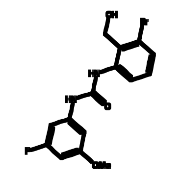 COc1cc(F)cc(NC(=O)Nc2cccc(Br)c2CO)c1